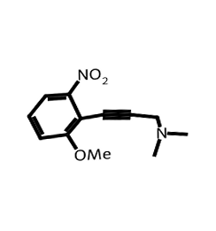 COc1cccc([N+](=O)[O-])c1C#CCN(C)C